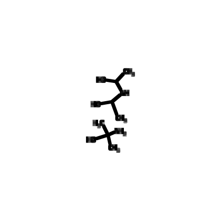 CC(C)(N)O.CC(O)NC(C)O